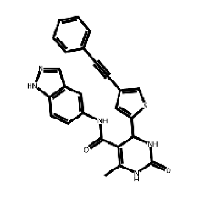 CC1=C(C(=O)Nc2ccc3[nH]ncc3c2)C(c2cc(C#Cc3ccccc3)cs2)NC(=O)N1